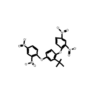 CC(C)(C)c1cc(Oc2ccc([N+](=O)[O-])cc2[N+](=O)[O-])ccc1Oc1ccc([N+](=O)[O-])cc1[N+](=O)[O-]